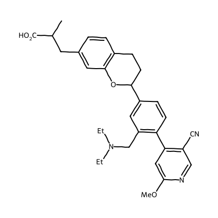 CCN(CC)Cc1cc(C2CCc3ccc(CC(C)C(=O)O)cc3O2)ccc1-c1cc(OC)ncc1C#N